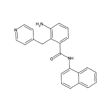 Nc1cccc(C(=O)Nc2cccc3ccccc23)c1Cc1ccncc1